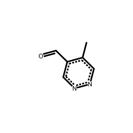 Cc1cnncc1C=O